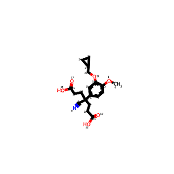 COc1ccc(C(C#N)(CCC(=O)O)CCC(=O)O)cc1OCC1CC1